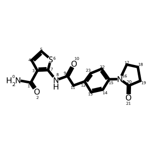 NC(=O)c1ccsc1NC(=O)Cc1ccc(N2CCCC2=O)cc1